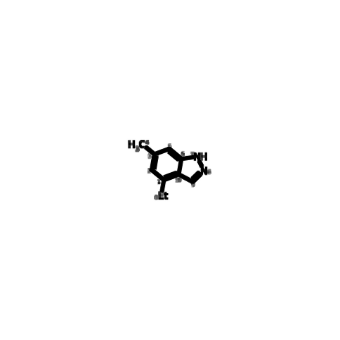 CCc1cc(C)cc2[nH]ncc12